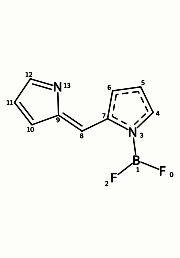 FB(F)n1cccc1/C=C1/C=CC=N1